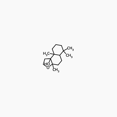 CC1(C)CCCC2(C)C1CCC1(C)OCCC12O